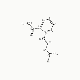 COC(=O)c1ccccc1OCCC(C)C